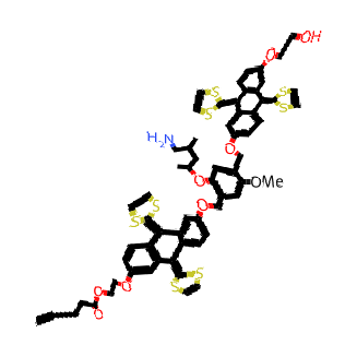 C#CCCC(=O)OCCOc1ccc2c(=C3SC=CS3)c3cc(OCc4cc(OC)c(COc5ccc6c(=C7SC=CS7)c7cc(OCCO)ccc7c(=C7SC=CS7)c6c5)cc4OC(C)CC(C)CN)ccc3c(=C3SC=CS3)c2c1